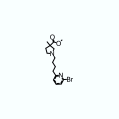 COC(=O)C1(C)CCN(CCCCc2cccc(Br)n2)C1